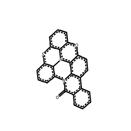 O=c1c2ccccc2c2ccc3oc4cccc5sc6cccc7c6-n(c45)c3c2n17